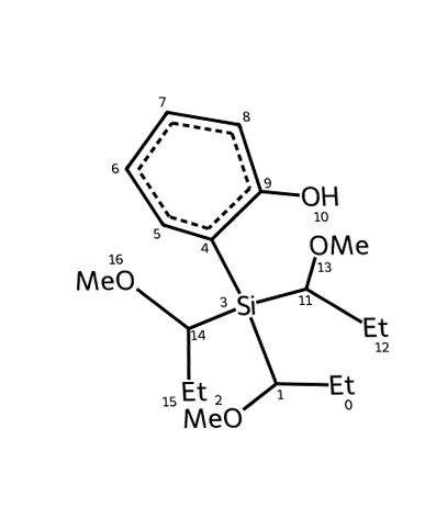 CCC(OC)[Si](c1ccccc1O)(C(CC)OC)C(CC)OC